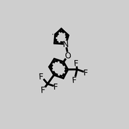 FC(F)(F)c1ccc(On2c[c]cc2)c(C(F)(F)F)c1